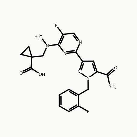 CN(CC1(C(=O)O)CC1)c1nc(-c2cc(C(N)=O)n(Cc3ccccc3F)n2)ncc1F